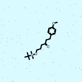 COc1ccc(CCC(=O)CCCO[Si](C)(C)C(C)(C)C)cc1